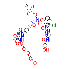 COCCOCCOCCOCCOC(=O)N[C@H](C(=O)N[C@@H](C)C(=O)Nc1ccc(COC(=O)N(C)CCN(CCOCCN2C(=O)CC(C(C)(C)C)C2=O)C(=O)Oc2cc3c(c4c(C)cccc24)[C@H](CCl)CN3C(=O)c2cn3cc(NC(=O)c4ccc(O)cc4)ccc3n2)cc1)C(C)C